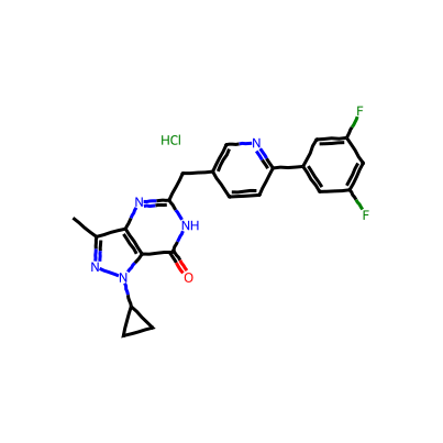 Cc1nn(C2CC2)c2c(=O)[nH]c(Cc3ccc(-c4cc(F)cc(F)c4)nc3)nc12.Cl